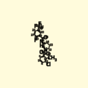 Cc1c(Cl)cccc1S(=O)(=O)N1CCCC(NC(=O)c2cc(C(F)(F)F)ccc2F)C1